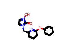 O=c1n(O)ccn1Cc1cccc(Oc2ccccc2)n1